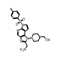 Cc1ccc(S(=O)(=O)n2ccc3c2ncc2nc(CN)n(N4CCC(CC#N)CC4)c23)cc1